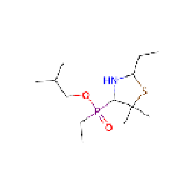 CCC1NC(P(=O)(CC)OCC(C)C)C(C)(C)S1